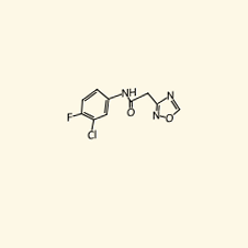 O=C(Cc1ncon1)Nc1ccc(F)c(Cl)c1